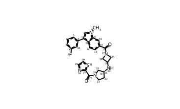 Cn1cc(-c2cccc(F)c2)c2ccc(C(=O)N3CC(N[C@H]4CCN(C(=O)c5nccs5)C4)C3)cc21